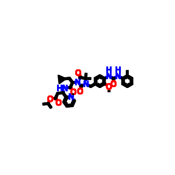 COc1cc(CN2C(=O)N(C(CC3CC3)C(=O)NC(CC(=O)OC(C)C)c3ccccn3)C(=O)C2(C)C)ccc1NC(=O)Nc1ccccc1C